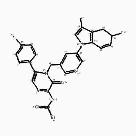 CCC(=O)Nc1ncc(-c2ccc(F)cc2)n(Cc2cncc(-n3cc(C)c4c3C=CC(F)C4)c2)c1=O